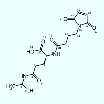 CC(C)NC(=O)CC[C@H](NC(=O)CCCN1C(=O)C=CC1=O)C(=O)O